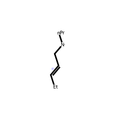 CC/C=C/C[N]CCC